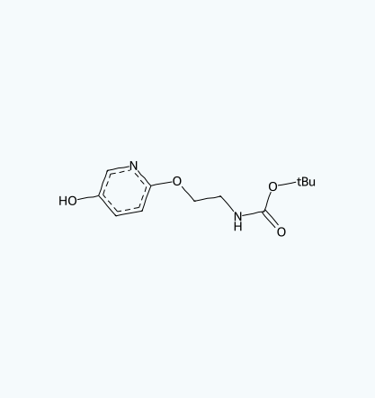 CC(C)(C)OC(=O)NCCOc1ccc(O)cn1